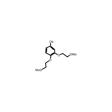 COCCOc1ccc(C#N)cc1OCCOC